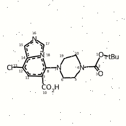 CC(C)(C)OC(=O)N1CCN(c2c(C(=O)O)cc(Cl)c3cncn23)CC1